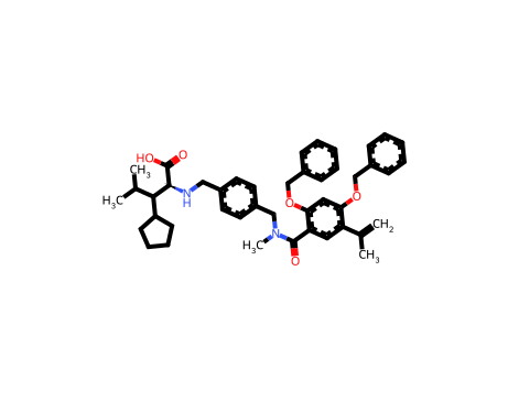 C=C(C)c1cc(C(=O)N(C)Cc2ccc(CN[C@H](C(=O)O)C(C(C)C)C3CCCC3)cc2)c(OCc2ccccc2)cc1OCc1ccccc1